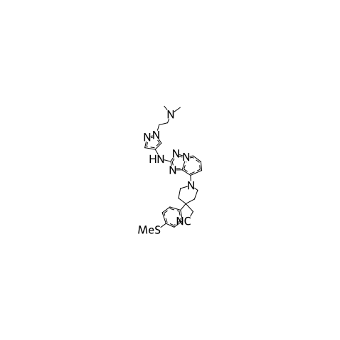 CSc1ccc(C2(CC#N)CCN(c3cccn4nc(Nc5cnn(CCN(C)C)c5)nc34)CC2)cc1